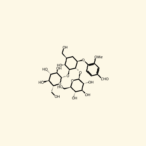 COc1cc(C=O)ccc1O[C@@H]1C[C@H](CO)[C@@H](O)[C@H](O[C@@H]2O[C@H](CO)[C@@H](O)[C@H](O)[C@H]2O)[C@H]1O[C@@H]1O[C@H](CO)[C@@H](O)[C@H](O)[C@H]1O